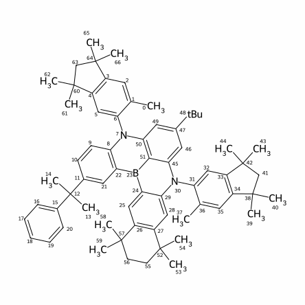 Cc1cc2c(cc1N1c3ccc(C(C)(C)c4ccccc4)cc3B3c4cc5c(cc4N(c4cc6c(cc4C)C(C)(C)CC6(C)C)c4cc(C(C)(C)C)cc1c43)C(C)(C)CCC5(C)C)C(C)(C)CC2(C)C